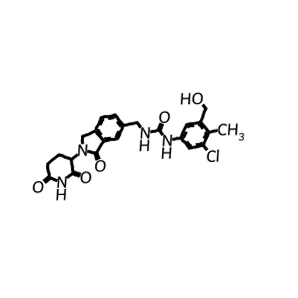 Cc1c(Cl)cc(NC(=O)NCc2ccc3c(c2)C(=O)N(C2CCC(=O)NC2=O)C3)cc1CO